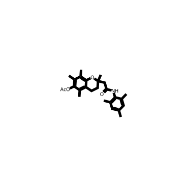 CC(=O)Oc1c(C)c(C)c2c(c1C)CCC(C)(CC(=O)Nc1c(C)cc(C)cc1C)O2